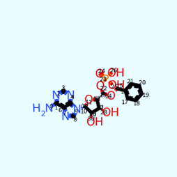 Nc1ncnc2c1ncn2[C@@H]1O[C@H](C(OCc2ccccc2)OP(=O)(O)O)[C@@H](O)[C@H]1O